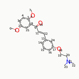 COc1ccc(OC)c(C(=O)C=Cc2cccc(OCCN(C)C)c2)c1